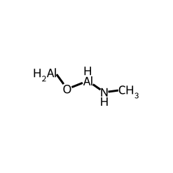 C[NH][AlH][O][AlH2]